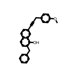 COc1ccc(CC#Cc2ccc3ccc(Cc4ccccc4)c(O)c3c2)cc1